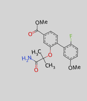 COC(=O)c1ccc(-c2cc(OC)ccc2F)c(OC(C)(C)C(N)=O)c1